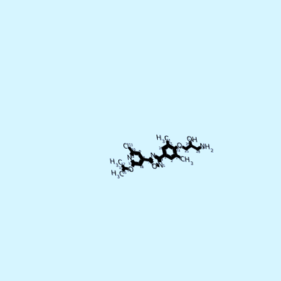 Cc1cc(-c2noc(-c3cc(Cl)nc(OC(C)C)c3)n2)cc(C)c1OCC(O)CN